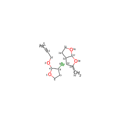 C#CCOC1OCCC1Br.C=C1CC2CCOC2O1